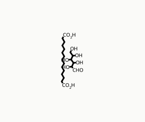 O=C(O)CCCCCCCCCCCCCC(=O)O.O=CC(O)C(O)C(O)C(O)CO